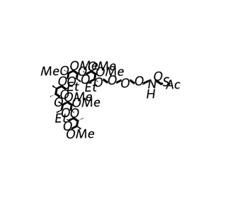 CC[C@H]1O[C@H](OC)[C@H](C)[C@@H](C)[C@@H]1O[C@@H]1O[C@@H](C)[C@@H](O[C@H]2O[C@H](CC)[C@@H](O[C@@H]3O[C@H](C)[C@@H](O[C@H]4O[C@H](CC)[C@@H](OCCOCCOCCOCCNC(=O)CSC(C)=O)[C@H](OC)[C@H]4OC)[C@H](OC)[C@H]3OC)[C@H](C)[C@H]2C)[C@H](OC)[C@H]1OC